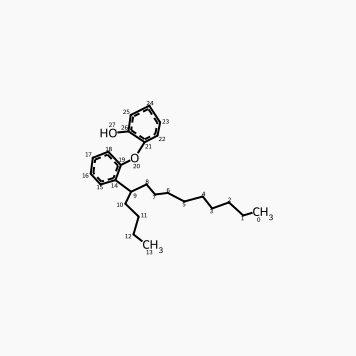 CCCCCCCCCC(CCCC)c1ccccc1Oc1ccccc1O